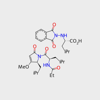 CC(C)C[C@H](NN1C(=O)c2ccccc2C1=O)C(=O)O.CCC(=O)N[C@H](CC(C)C)C(=O)N1C(=O)C=C(OC)[C@@H]1CC(C)C